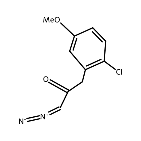 COc1ccc(Cl)c(CC(=O)C=[N+]=[N-])c1